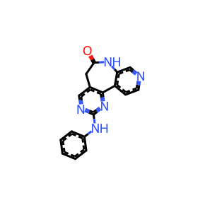 O=C1Cc2cnc(Nc3ccccc3)nc2-c2ccncc2N1